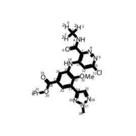 [2H]C([2H])([2H])NC(=O)c1nnc(Cl)cc1Nc1cc(C(=O)OC(C)C)cc(-c2cnn(C)n2)c1OC